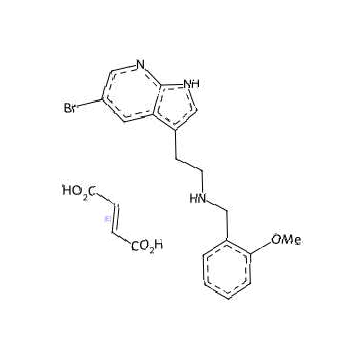 COc1ccccc1CNCCc1c[nH]c2ncc(Br)cc12.O=C(O)/C=C/C(=O)O